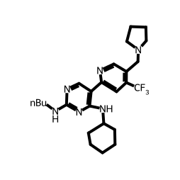 CCCCNc1ncc(-c2cc(C(F)(F)F)c(CN3CCCC3)cn2)c(NC2CCCCC2)n1